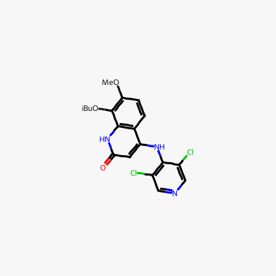 COc1ccc2c(Nc3c(Cl)cncc3Cl)cc(=O)[nH]c2c1OCC(C)C